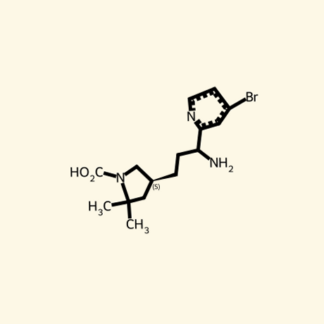 CC1(C)C[C@H](CCC(N)c2cc(Br)ccn2)CN1C(=O)O